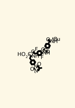 Cc1cn(C)c(=O)n(-c2ccc(C[C@H](NC(=O)c3cc(F)c(NS(=O)(=O)c4ccc(C(=O)NC(C)(C)C)cc4)cc3F)C(=O)O)cc2)c1=O